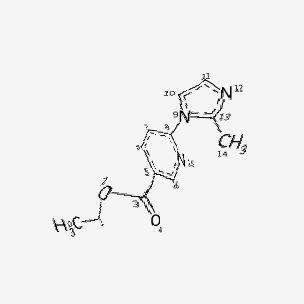 CCOC(=O)c1ccc(-n2ccnc2C)nc1